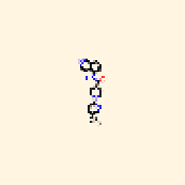 O=C(Nc1cccc2cnccc12)C1CCN(c2ccc(C(F)(F)F)cn2)CC1